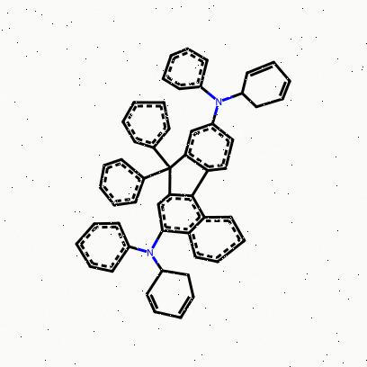 C1=CCC(N(c2ccccc2)c2ccc3c(c2)C(c2ccccc2)(c2ccccc2)c2cc(N(c4ccccc4)C4C=CC=CC4)c4ccccc4c2-3)C=C1